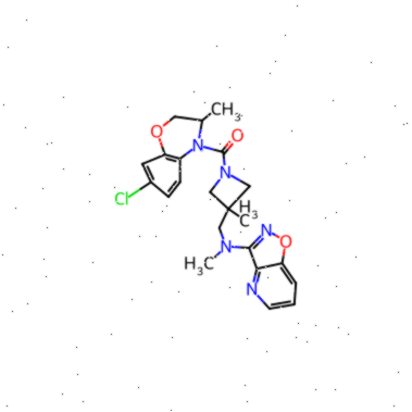 CC1COc2cc(Cl)ccc2N1C(=O)N1CC(C)(CN(C)c2noc3cccnc23)C1